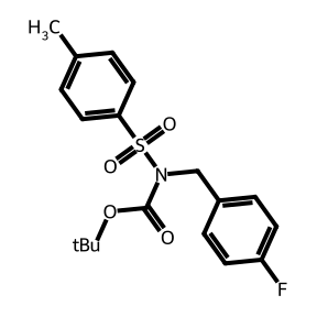 Cc1ccc(S(=O)(=O)N(Cc2ccc(F)cc2)C(=O)OC(C)(C)C)cc1